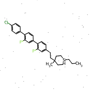 CCC[SiH]1CCC(C)(CCc2ccc(-c3ccc(-c4ccc(Cl)cc4)c(F)c3)c(F)c2)CC1